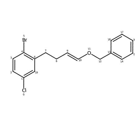 Clc1ccc(Br)c(CCC=COCc2ccccc2)c1